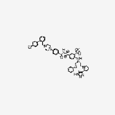 O=C(NS(=O)(=O)c1ccc(N[C@H](CCN2CCCC2c2nn[nH]n2)CSc2ccccc2)c([N+](=O)[O-])c1)c1ccc(N2CCN(Cc3ccccc3-c3ccc(Cl)cc3)CC2)cc1